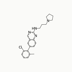 Cc1cccc(Cl)c1-c1ccc2nc(NCCCN3CCCC3)ncc2c1